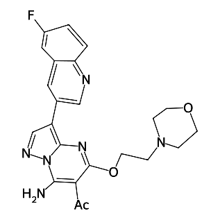 CC(=O)c1c(OCCN2CCOCC2)nc2c(-c3cnc4ccc(F)cc4c3)cnn2c1N